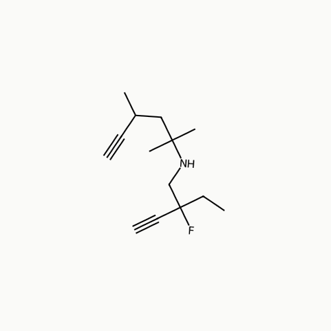 C#CC(C)CC(C)(C)NCC(F)(C#C)CC